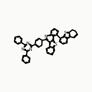 C1=Cc2c(sc3c(-c4cccc5nc(C6C=CC(c7nc(-c8ccccc8)nc(-c8ccccc8)n7)=CC6)c6c7ccccc7sc6c45)cccc23)CC1